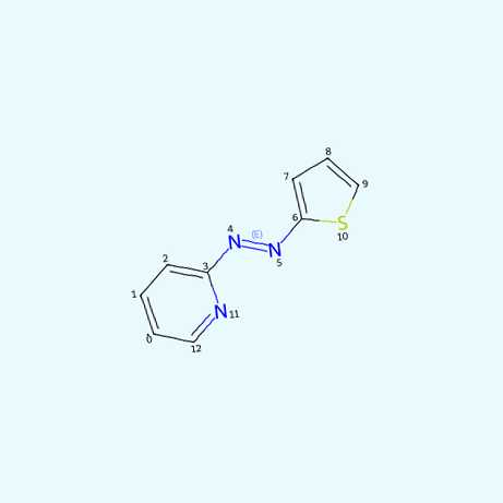 [c]1ccc(/N=N/c2cccs2)nc1